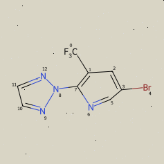 FC(F)(F)c1cc(Br)cnc1-n1nccn1